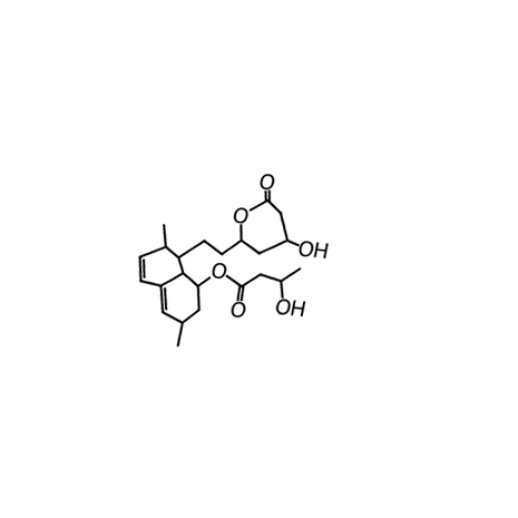 CC(O)CC(=O)OC1CC(C)C=C2C=CC(C)C(CCC3CC(O)CC(=O)O3)C21